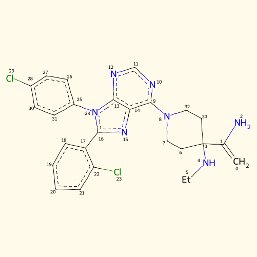 C=C(N)C1(NCC)CCN(c2ncnc3c2nc(-c2ccccc2Cl)n3-c2ccc(Cl)cc2)CC1